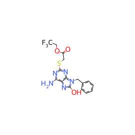 Nc1nc(SCC(=O)OCC(F)(F)F)nc2c1nc(O)n2Cc1ccccc1